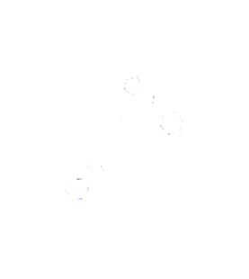 CC1=C(c2ccccc2)C(CC(=O)C2CCC(C(=O)Nc3cccnc3)CC2)n2cncc21